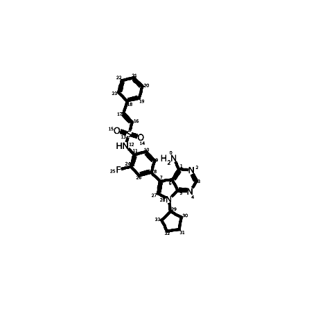 Nc1ncnc2c1c(-c1ccc(NS(=O)(=O)/C=C/c3ccccc3)c(F)c1)cn2C1CCCC1